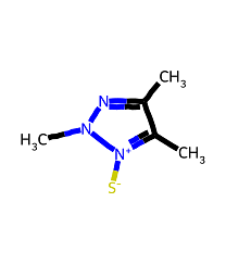 Cc1nn(C)[n+]([S-])c1C